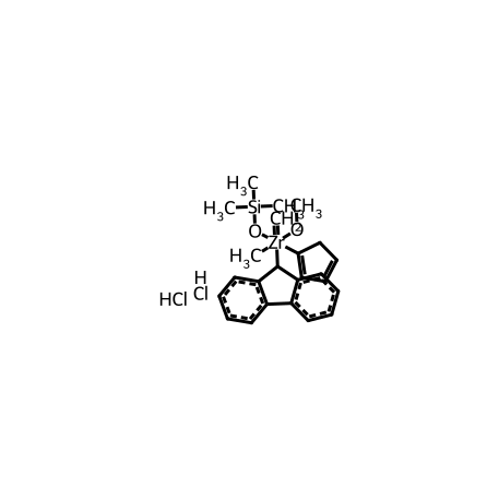 Cl.Cl.[CH2]=[Zr]([CH3])([O]C)([O][Si](C)(C)C)([C]1=CC=CC1)[CH]1c2ccccc2-c2ccccc21